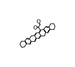 O=CC(=O)C1=c2cc3c(cc2Cc2cc4c(cc21)CCCC4)=Cc1cc2c(cc1C3)CCCC2